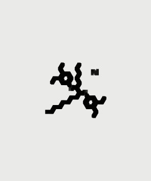 CCCCCCCCC(=N\c1ccc(CC)c(CC)c1)/C(CCCCC)=N/c1ccc(CC)c(CC)c1.[Pd]